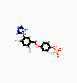 O=S(=O)(F)Oc1ccc(OCc2cc(-n3cncn3)c(F)cc2F)cc1